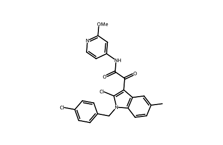 COc1cc(NC(=O)C(=O)c2c(Cl)n(Cc3ccc(Cl)cc3)c3ccc(C)cc23)ccn1